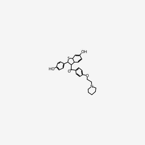 O=C(c1ccc(OCCN2CCCCC2)cc1)C1C(c2ccc(O)cc2)SC2C=C(O)C=CC21